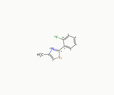 [CH2]c1csc(-c2ccccc2F)n1